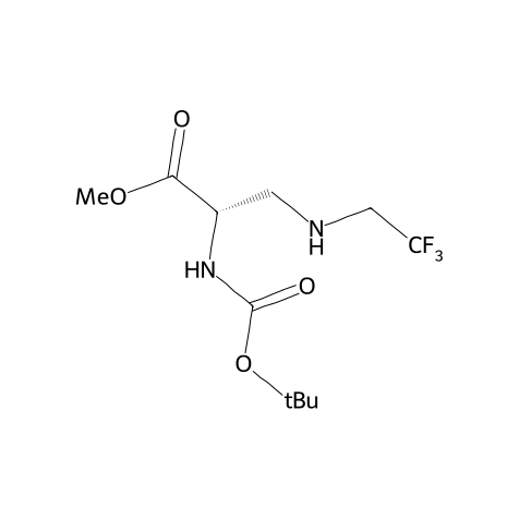 COC(=O)[C@H](CNCC(F)(F)F)NC(=O)OC(C)(C)C